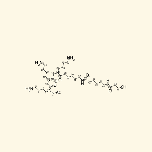 CC(=O)CN(CCCCN)C(=O)CN(CCCCN)C(=O)CN(CCCCN)C(=O)CCCCCNC(=O)CCCCCNC(=O)CCS